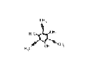 CC#Cc1c(C)c(C#CC)c(C)c(C#CC)c1C